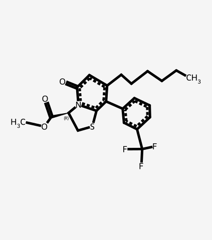 CCCCCCc1cc(=O)n2c(c1-c1cccc(C(F)(F)F)c1)SC[C@H]2C(=O)OC